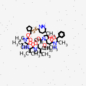 CC[C@H](C)[C@@H]([C@@H](CC(=O)N1CCC[C@H]1[C@H](OC)[C@@H](C)C(=O)N[C@H](C)[C@@H](O)c1ccccc1)OC)N(C)C(=O)[C@@H](NC(=O)[C@H](C(C)C)N(C)C(=O)OCC1(SSC2=NN=CC(C)CC2)CCCC1)C(C)C